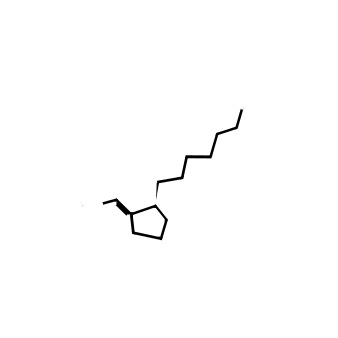 CCCCCCCC=C1CCC[C@@H]1CCCCCCC(=O)O